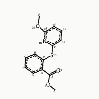 COC(=O)c1ccccc1Sc1cccc(OC)n1